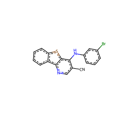 N#Cc1cnc2c(sc3ccccc32)c1Nc1cccc(Br)c1